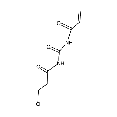 C=CC(=O)NC(=O)NC(=O)CCCl